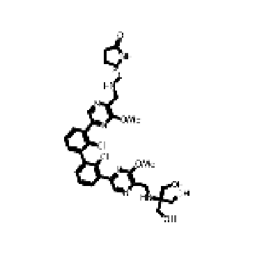 COc1nc(-c2cccc(-c3cccc(-c4cnc(CNC(CO)(CO)CO)c(OC)n4)c3Cl)c2Cl)cnc1CNC[C@@H]1CCC(=O)N1